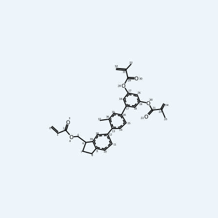 C=CC(=O)OCC1CCc2ccc(-c3ccc(-c4cc(OC(=O)C(=C)C)cc(OC(=O)C(=C)C)c4)cc3C)cc21